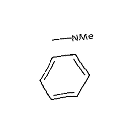 CNC.c1ccccc1